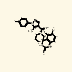 Cc1ccc(-n2ncc(C(=O)N3CCC[C@@]4(C3)OC(=O)Nc3ccc(Cl)c(F)c34)c2N)cc1